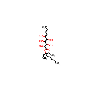 CCCC=C(O)C(O)C(O)C(O)C(O)C(=O)OC(CC)(CC)CCCCC